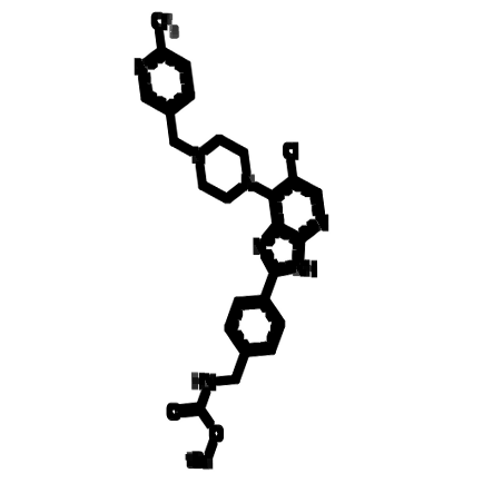 CC(C)(C)OC(=O)NCc1ccc(-c2nc3c(N4CCN(Cc5ccc(C(F)(F)F)nc5)CC4)c(Cl)cnc3[nH]2)cc1